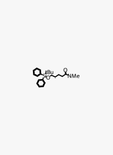 CNC(=O)CC[CH]CO[Si](c1ccccc1)(c1ccccc1)C(C)(C)C